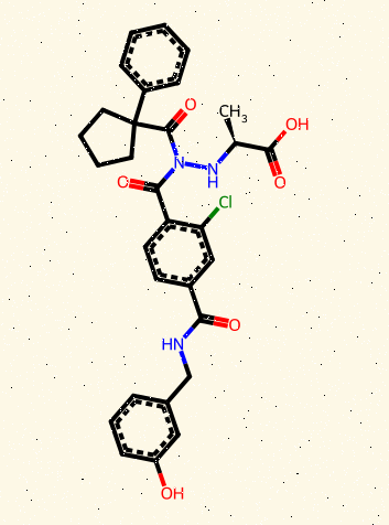 C[C@H](NN(C(=O)c1ccc(C(=O)NCc2cccc(O)c2)cc1Cl)C(=O)C1(c2ccccc2)CCCC1)C(=O)O